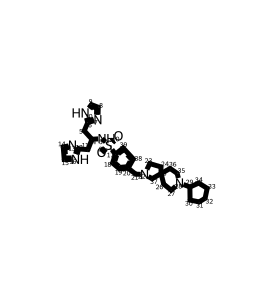 O=S(=O)(NC(Cc1ncc[nH]1)Cc1ncc[nH]1)c1ccc(CN2CCC3(CCN(C4CCCCC4)CC3)C2)cc1